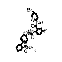 NS(=O)(=O)c1ccccc1-c1ccc(NC(=O)Nc2ccc(F)cc2C(=O)Nc2ccc(Br)cn2)cc1